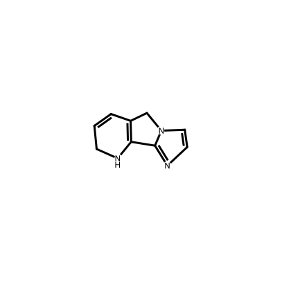 C1=CC2=C(NC1)c1nccn1C2